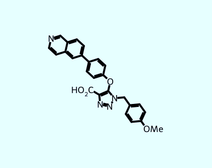 COc1ccc(Cn2nnc(C(=O)O)c2Oc2ccc(-c3ccc4cnccc4c3)cc2)cc1